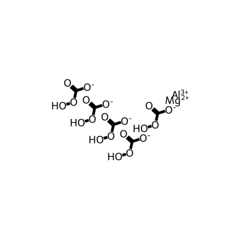 O=C([O-])OO.O=C([O-])OO.O=C([O-])OO.O=C([O-])OO.O=C([O-])OO.[Al+3].[Mg+2]